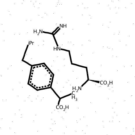 CC(C)Cc1ccc(C(C)C(=O)O)cc1.N=C(N)NCCC[C@H](N)C(=O)O